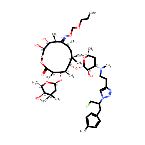 COCCOCO/N=C1\[C@H](C)C[C@@](C)(OC)[C@H](O[C@@H]2O[C@H](C)C[C@H](N(C)CCc3cn(C(CF)Cc4ccc([N+](=O)[O-])cc4)nn3)[C@H]2O)[C@@H](C)[C@H](O[C@H]2C[C@@](C)(OC)[C@@H](O)[C@H](C)O2)[C@@H](C)C(=O)OC[C@@H](O)[C@H](O)[C@H]1C